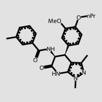 CCCOc1ccc([C@H]2c3c(C)nn(C)c3NC(=O)[C@H]2NC(=O)c2cccc(C)c2)cc1OC